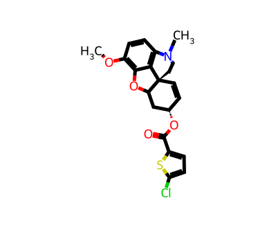 COc1ccc2c3c1OC1C[C@@H](OC(=O)c4ccc(Cl)s4)C=C[C@@]31CCN2C